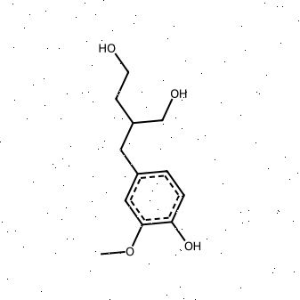 COc1cc(CC(CO)CCO)ccc1O